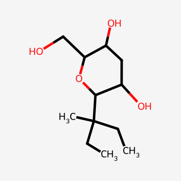 CCC(C)(CC)C1OC(CO)C(O)CC1O